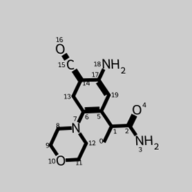 CC(C(N)=O)C1=C(N2CCOCC2)CC(=C=O)C(N)=C1